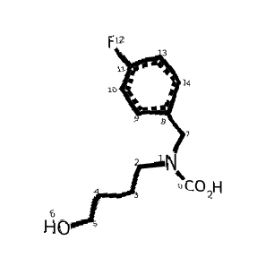 O=C(O)N(CCCCO)Cc1ccc(F)cc1